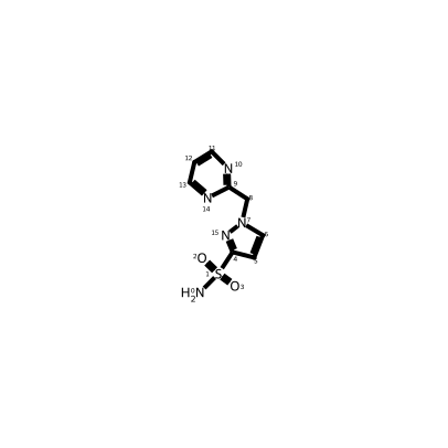 NS(=O)(=O)c1ccn(Cc2ncccn2)n1